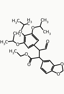 CCOC(=O)C(c1ccc2c(c1)OCO2)C(C=O)c1cc(OC(C)C)c(OC(C)C)c(OC(C)C)c1